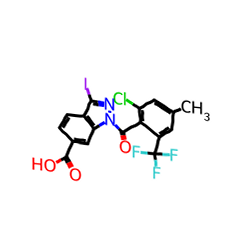 Cc1cc(Cl)c(C(=O)n2nc(I)c3ccc(C(=O)O)cc32)c(C(F)(F)F)c1